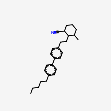 CCCCCc1ccc(-c2ccc(CCC3C(C)CCCC3C#N)cc2)cc1